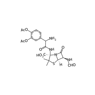 CC(=O)Oc1ccc(C(N)C(=O)N[C@@]2(C(=O)O)N3C(=O)[C@@H](NC=O)[C@H]3SC2(C)C)cc1OC(C)=O